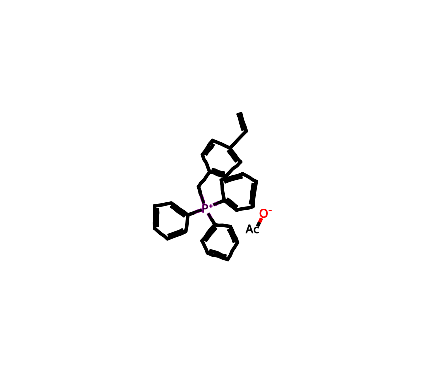 C=Cc1ccc(C[P+](c2ccccc2)(c2ccccc2)c2ccccc2)cc1.CC(=O)[O-]